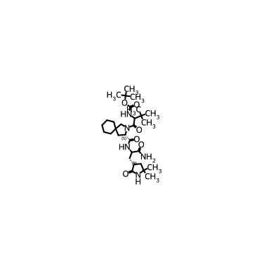 CC1(C)C[C@@H](CC(NC(=O)[C@@H]2CC3(CCCCC3)CN2C(=O)C(NC(=O)OC(C)(C)C)C(C)(C)C)C(N)=O)C(=O)N1